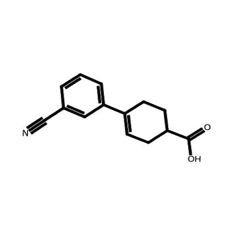 N#Cc1cccc(C2=CCC(C(=O)O)CC2)c1